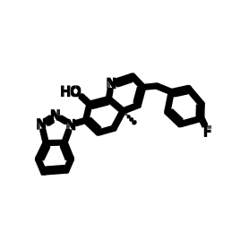 C[C@@]12C=C(Cc3ccc(F)cc3)C=NC1=C(O)C(n1nnc3ccccc31)=CC2